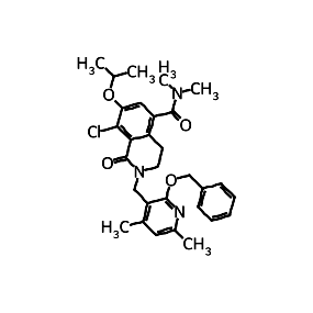 Cc1cc(C)c(CN2CCc3c(C(=O)N(C)C)cc(OC(C)C)c(Cl)c3C2=O)c(OCc2ccccc2)n1